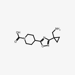 NCC1(c2noc(C3CCN(C(=O)O)CC3)n2)CC1